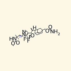 C=C(C(=O)c1cnn(/C=C/C(C)(C)NC(=O)OC)c1C(F)(F)F)[C@H]1C2CC3CC1C[C@@](COC(N)=O)(C3)C2